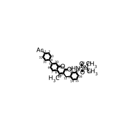 CC(=O)c1ccc(-c2ccc3c(C)c(Cc4cccc(NS(=O)(=O)N(C)C)c4)c(=O)oc3c2)cc1